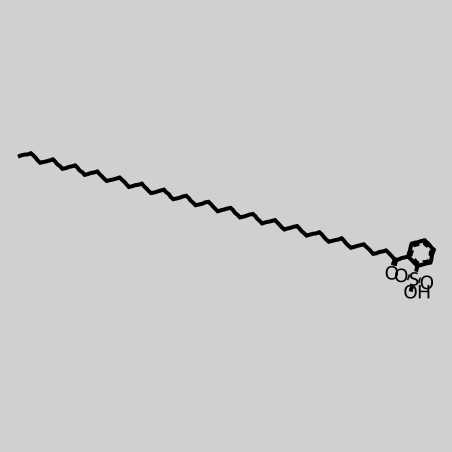 CCCCCCCCCCCCCCCCCCCCCCCCCCCCCCCCCCC(=O)c1ccccc1S(=O)(=O)O